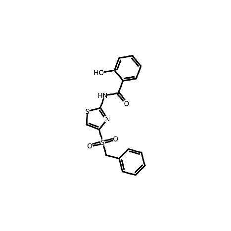 O=C(Nc1nc(S(=O)(=O)Cc2ccccc2)cs1)c1ccccc1O